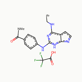 CNC(=O)c1ccc(Nc2nc(NCC(C)C)c3ccnc-3[nH]2)cc1.O=C(O)C(F)(F)F